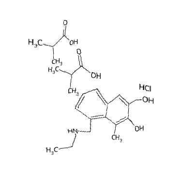 CC(C)C(=O)O.CC(C)C(=O)O.CCNCc1cccc2cc(O)c(O)c(C)c12.Cl